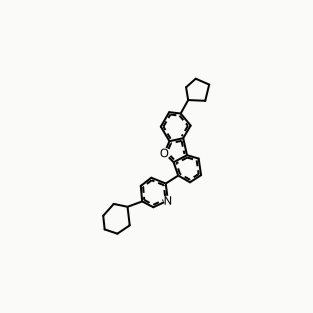 c1cc(-c2ccc(C3CCCCC3)cn2)c2oc3ccc(C4CCCC4)cc3c2c1